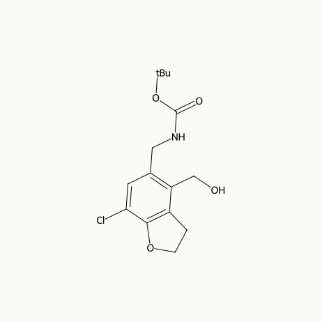 CC(C)(C)OC(=O)NCc1cc(Cl)c2c(c1CO)CCO2